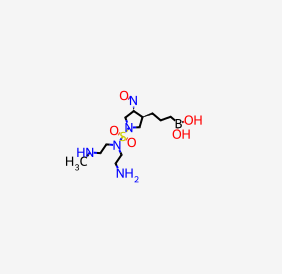 CNCCN(CCN)S(=O)(=O)N1C[C@H](CCCB(O)O)[C@@H](N=O)C1